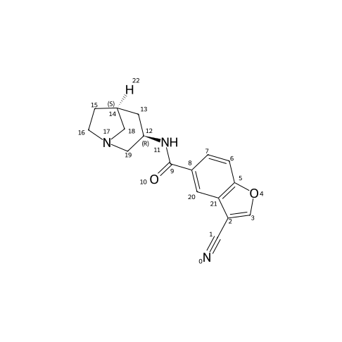 N#Cc1coc2ccc(C(=O)N[C@@H]3C[C@@H]4CCN(C4)C3)cc12